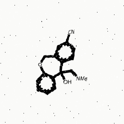 CNCC1(O)c2ccc(C#N)cc2COc2ccccc21